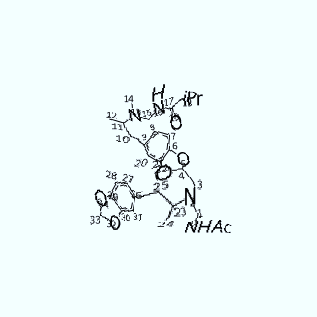 CC(=O)NCN(CC1Oc2ccc(CC(C)N(C)CNC(=O)C(C)C)cc2O1)C(C)Cc1ccc2c(c1)OCO2